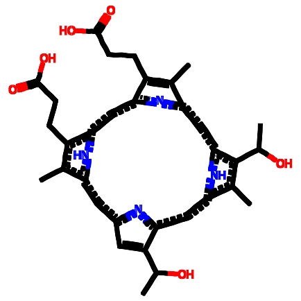 CC1=C(CCC(=O)O)c2cc3[nH]c(cc4nc(cc5[nH]c(cc1n2)c(C(C)O)c5C)C(C(C)O)=C4)c(C)c3CCC(=O)O